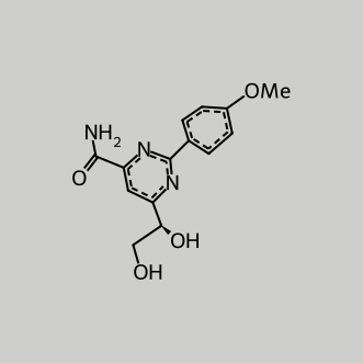 COc1ccc(-c2nc(C(N)=O)cc([C@@H](O)CO)n2)cc1